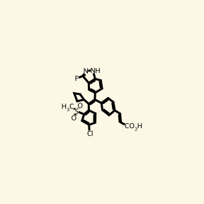 CS(=O)(=O)c1cc(Cl)ccc1C(=C(c1ccc(C=CC(=O)O)cc1)c1ccc2[nH]nc(F)c2c1)C1CCC1